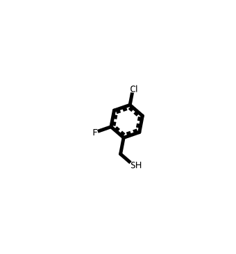 Fc1cc(Cl)ccc1CS